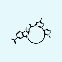 C=C(C)c1ccc2c(c1)N1CCCCCCc3c(cnn3C)-c3cc(cc(C)n3)C(=C)/N=C/1N2